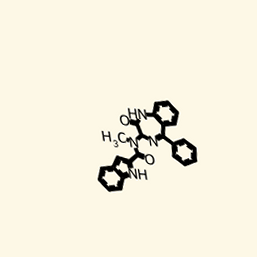 CN(C(=O)c1cc2ccccc2[nH]1)C1N=C(c2ccccc2)c2ccccc2NC1=O